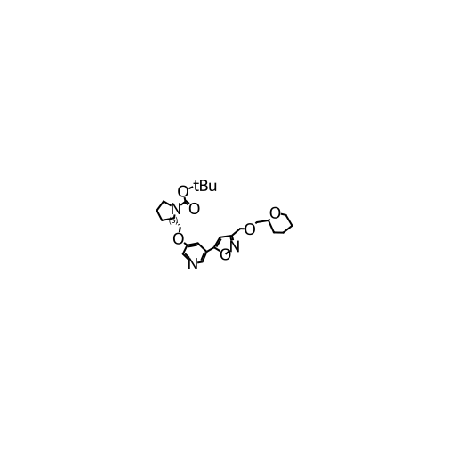 CC(C)(C)OC(=O)N1CCC[C@H]1COc1cncc(-c2cc(COCC3CCCCO3)no2)c1